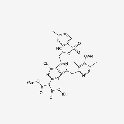 COc1c(C)cnc(Cn2nc(CC(C#N)OS(=O)(=O)c3ccc(C)cc3)c3c(Cl)nc(N(C(=O)OC(C)(C)C)C(=O)OC(C)(C)C)nc32)c1C